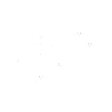 CCOc1cc2c(OCC)cc3c4cc(OC)c(OC)cc4cnc3c2cc1OC